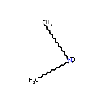 CCCCCCCCCCCCCCCCCC[N+]1(CCCCCCCCCCCCCCC)CCCC1